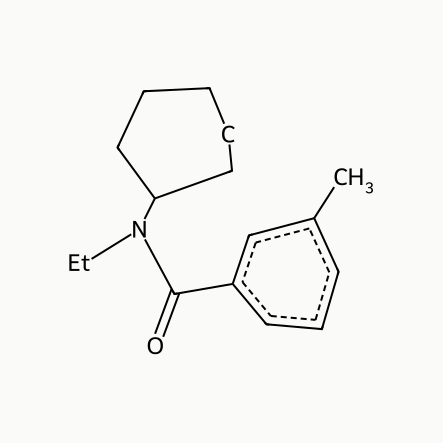 CCN(C(=O)c1cccc(C)c1)C1CCCCC1